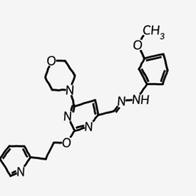 COc1cccc(NN=Cc2cc(N3CCOCC3)nc(OCCc3ccccn3)n2)c1